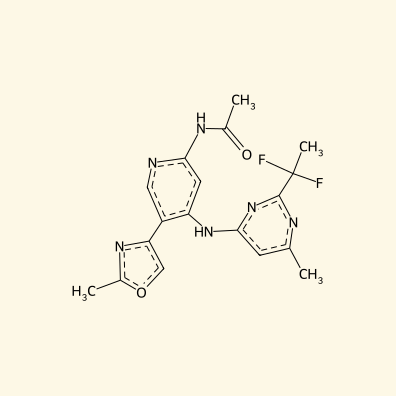 CC(=O)Nc1cc(Nc2cc(C)nc(C(C)(F)F)n2)c(-c2coc(C)n2)cn1